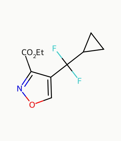 CCOC(=O)c1nocc1C(F)(F)C1CC1